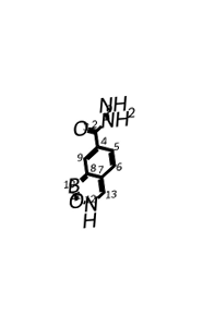 NNC(=O)c1ccc2c(c1)=BONC=2